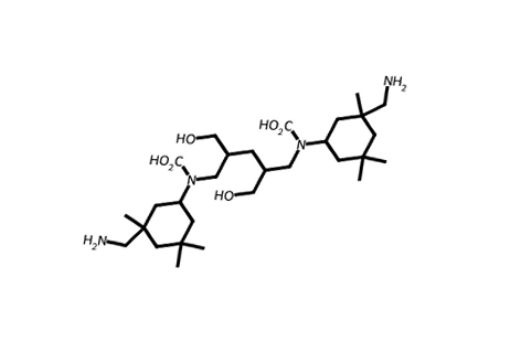 CC1(C)CC(N(CC(CO)CC(CO)CN(C(=O)O)C2CC(C)(C)CC(C)(CN)C2)C(=O)O)CC(C)(CN)C1